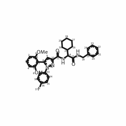 COc1cccc(OC)c1-c1cc(C(=O)NC(C(=O)NCc2ccccc2)C2CCCCC2)nn1-c1ccc(F)cc1